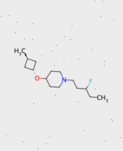 CCC(F)CCN1CCC(O[C@H]2C[C@H](C)C2)CC1